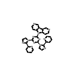 c1ccc(-c2nccn2-c2nc(-n3ccnc3-c3ccccn3)nc(-n3c4ccncc4c4cnccc43)n2)nc1